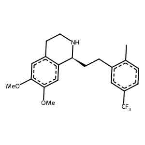 COc1cc2c(cc1OC)[C@H](CCc1cc(C(F)(F)F)ccc1C)NCC2